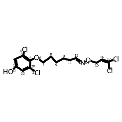 Oc1cc(Cl)c(OCCCCCC=NOCC=C(Cl)Cl)c(Cl)c1